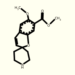 COC(=O)c1cc2c(cc1OC)C=CC1(CCNCC1)O2